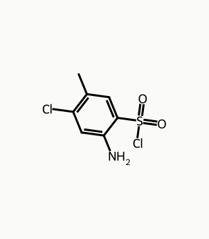 Cc1cc(S(=O)(=O)Cl)c(N)cc1Cl